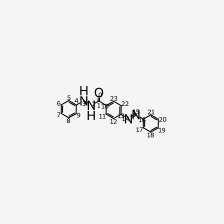 O=C(NNc1ccccc1)c1ccc(/N=N/c2ccccc2)cc1